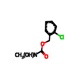 CN(O)C(=O)OCc1ccccc1Cl